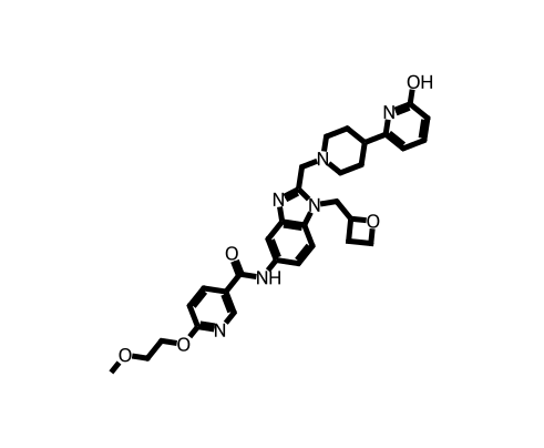 COCCOc1ccc(C(=O)Nc2ccc3c(c2)nc(CN2CCC(c4cccc(O)n4)CC2)n3CC2CCO2)cn1